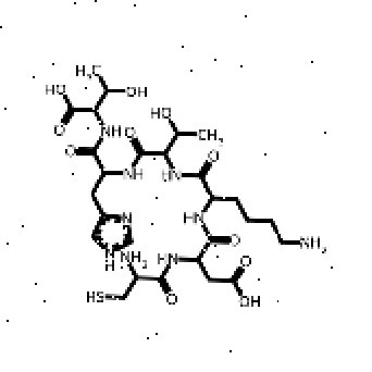 CC(O)C(NC(=O)C(Cc1c[nH]cn1)NC(=O)C(NC(=O)C(CCCCN)NC(=O)C(CC(=O)O)NC(=O)C(N)CS)C(C)O)C(=O)O